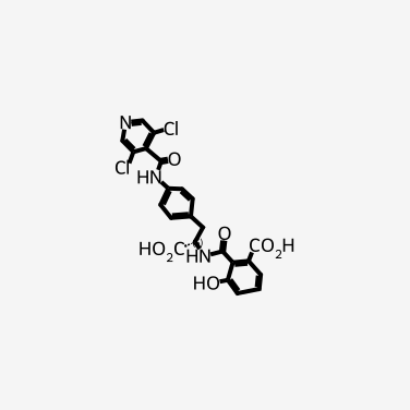 O=C(O)c1cccc(O)c1C(=O)N[C@@H](Cc1ccc(NC(=O)c2c(Cl)cncc2Cl)cc1)C(=O)O